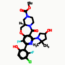 CC(C)(C)OC(=O)N1CCN2C(=O)c3c(N4CC(O)CC4(C)C)nc(-c4c(O)ccc(Cl)c4F)c(F)c3OC[C@H]2C1